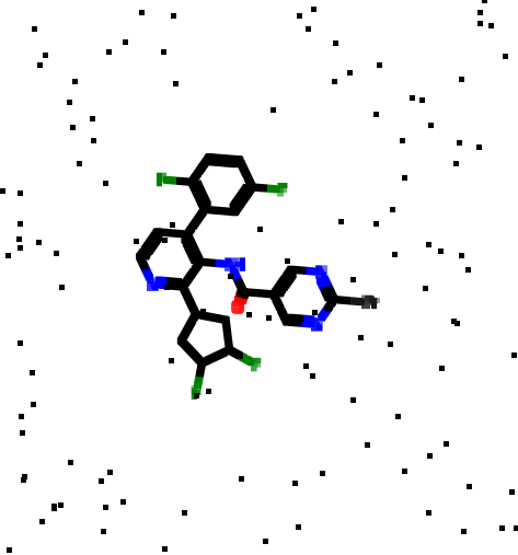 CC(C)c1ncc(C(=O)Nc2c(-c3cc(F)ccc3F)ccnc2C2CC(F)C(F)C2)cn1